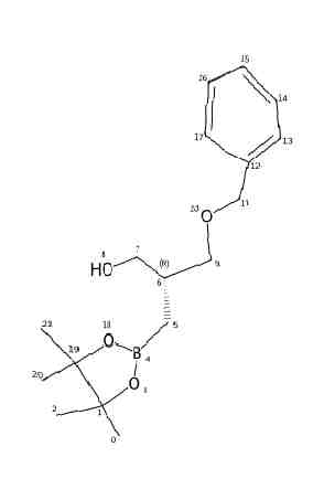 CC1(C)OB(C[C@H](CO)COCc2ccccc2)OC1(C)C